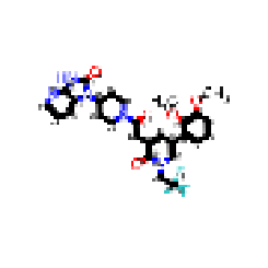 COc1cccc(-c2cc(CC(=O)N3CCC(n4c(=O)[nH]c5ncccc54)CC3)c(=O)n(CC(F)(F)F)c2)c1OC